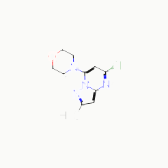 Cc1cc2nc(Cl)cc(N3CCOCC3)n2n1